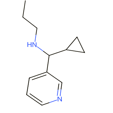 CCCNC(c1cccnc1)C1CC1